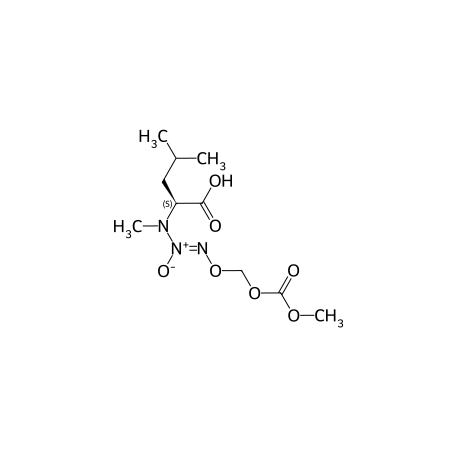 COC(=O)OCON=[N+]([O-])N(C)[C@@H](CC(C)C)C(=O)O